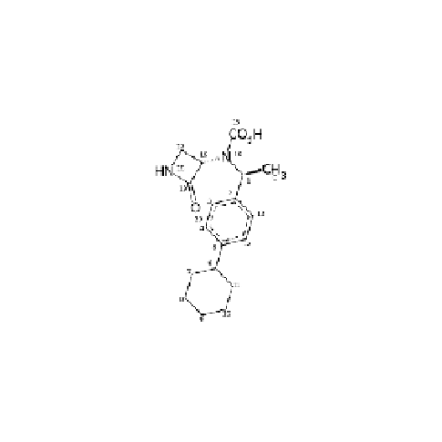 C[C@@H](c1ccc(C2CCCCC2)cc1)N(C(=O)O)[C@H]1CNC1=O